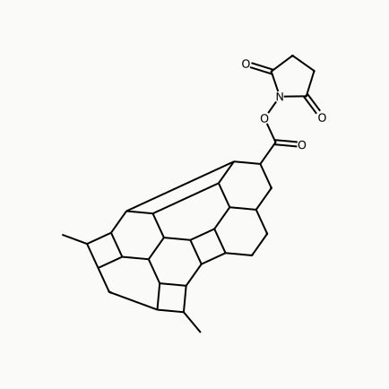 CC1C2CC3C(C)C4C3C3C2C1C1C2CCC5CC(C(=O)ON6C(=O)CCC6=O)C6C7C5C2C1C3C7C64